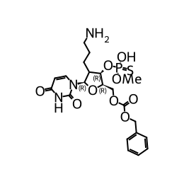 COP(O)(=S)O[C@@H]1C(CCCN)[C@H](n2ccc(=O)[nH]c2=O)O[C@@H]1COC(=O)OCc1ccccc1